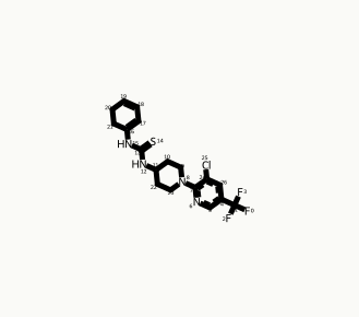 FC(F)(F)c1cnc(N2CCC(NC(=S)NC3=CC=CCC3)CC2)c(Cl)c1